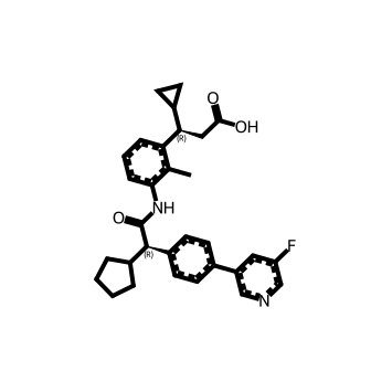 Cc1c(NC(=O)[C@@H](c2ccc(-c3cncc(F)c3)cc2)C2CCCC2)cccc1[C@H](CC(=O)O)C1CC1